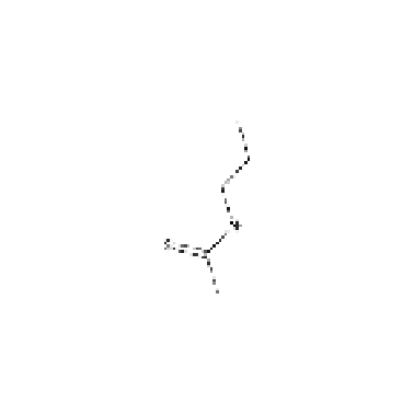 CCC[N]C(C)=S